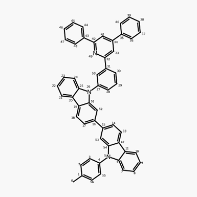 Cc1ccc(-n2c3ccccc3c3ccc(-c4ccc5c6ccccc6n(-c6cccc(-c7cc(-c8ccccc8)cc(-c8ccccc8)n7)c6)c5c4)cc32)cc1